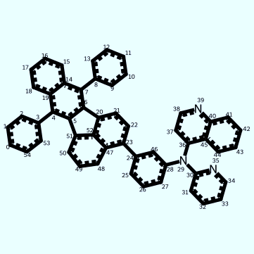 c1ccc(-c2c3c(c(-c4ccccc4)c4ccccc24)-c2ccc(-c4cccc(N(c5ccccn5)c5ccnc6ccccc56)c4)c4cccc-3c24)cc1